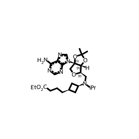 CCOC(=O)CCC[C@H]1C[C@@H](N(C[C@H]2OC[C@]3(n4cnc5c(N)ncnc54)OC(C)(C)O[C@H]23)C(C)C)C1